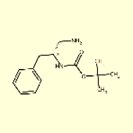 CC(C)(C)OC(=O)N[C@@H](CN)Cc1ccccc1